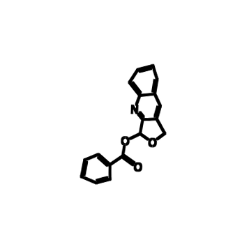 O=C(OC1OCc2cc3ccccc3nc21)c1ccccc1